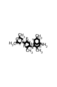 Cc1nc(N2CC(C)OC(C)C2)c(F)cc1NC1C(C)CC2(N)CC(C)CC1C2